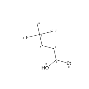 CCC(O)CCC(C)(F)F